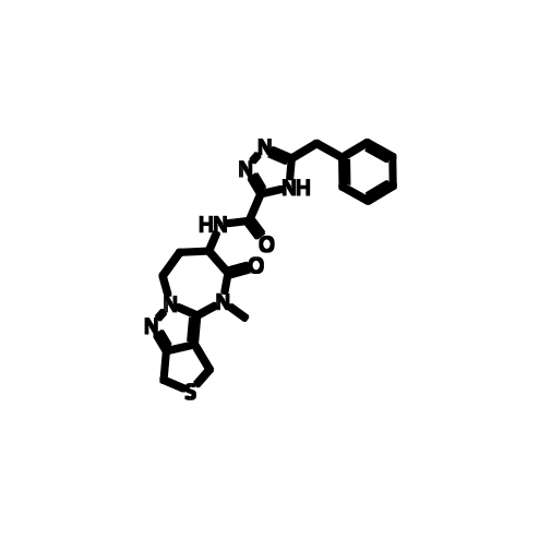 CN1C(=O)C(NC(=O)c2nnc(Cc3ccccc3)[nH]2)CCn2nc3c(c21)CSC3